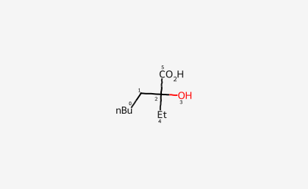 CCCCCC(O)(CC)C(=O)O